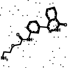 NCCOCC(=O)Nc1cccc(-c2n[nH]c(=O)c3ccccc23)c1